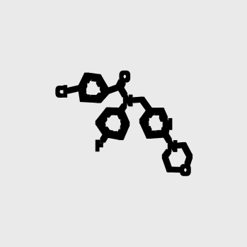 O=C(c1ccc(Cl)cc1)N(Cc1ccc(N2CCOCC2)nc1)c1ccc(F)cc1